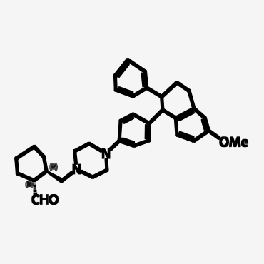 COc1ccc2c(c1)CCC(c1ccccc1)C2c1ccc(N2CCN(C[C@@H]3CCCC[C@H]3C=O)CC2)cc1